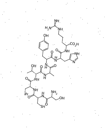 CC(C)CC(NC(=O)C(CS)NC(=O)C(N)CO)C(=O)NC(C(=O)NC(C)C(=O)NC(Cc1ccc(O)cc1)C(=O)NC(Cc1c[nH]cn1)C(=O)NC(CCCNC(=N)N)C(=O)O)C(C)O